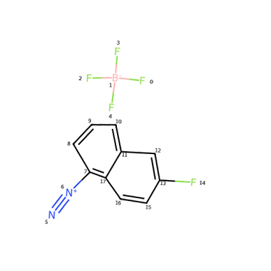 F[B-](F)(F)F.N#[N+]c1cccc2cc(F)ccc12